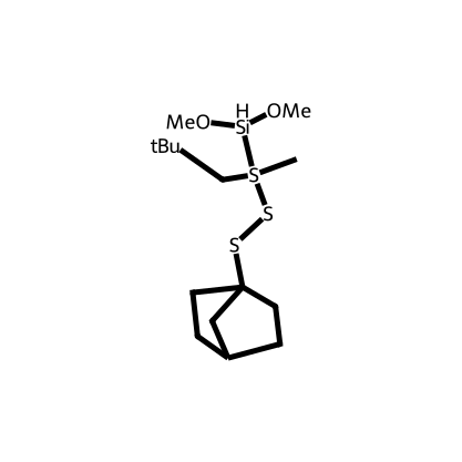 CO[SiH](OC)S(C)(CC(C)(C)C)SSC12CCC(CC1)C2